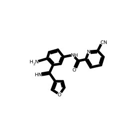 N#Cc1cccc(C(=O)Nc2ccc(N)c(C(=N)c3ccoc3)c2)n1